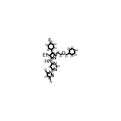 CCc1c(Nc2cc(-n3nc(C)cc3C)ncn2)nn(CCOCc2ccccc2)c1-c1ccc(F)cc1